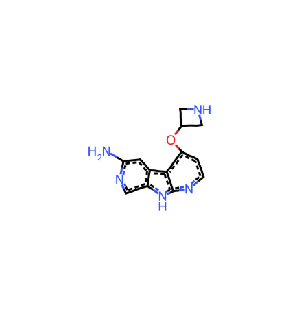 Nc1cc2c(cn1)[nH]c1nccc(OC3CNC3)c12